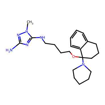 Cn1nc(N)nc1NCCCCOC1(N2CCCCC2)CCCc2ccccc21